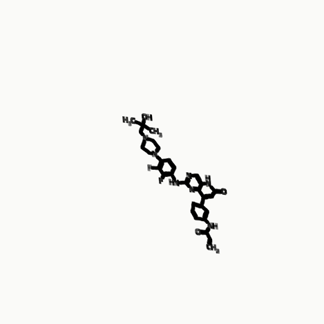 C=CC(=O)Nc1cccc(-c2cc(=O)[nH]c3cnc(Nc4ccc(N5CCN(CC(C)(C)O)CC5)c(F)c4F)nc23)c1